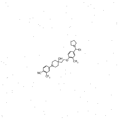 CCC(c1ccc(OCCC2(O)CCN(c3ccc(C#N)c(C(F)(F)F)c3)CC2)c(C)c1)N1CCCC1